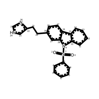 O=S(=O)(c1ccccc1)n1c2ccccc2c2ccc(CCc3c[nH]cn3)cc21